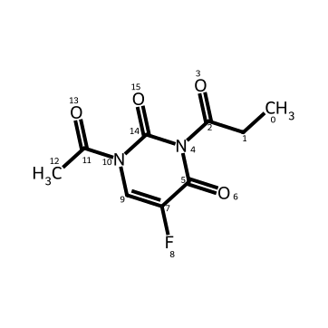 CCC(=O)n1c(=O)c(F)cn(C(C)=O)c1=O